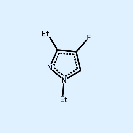 CCc1nn(CC)cc1F